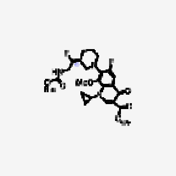 COc1c(N2CCC/C(=C(\F)CNC(=O)OC(C)(C)C)C2)c(F)cc2c(=O)c(C(=O)OC(C)C)cn(C3CC3)c12